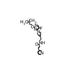 CN(C)CCOc1ncc(F)c(N2CC3C(CCNC(=O)/C=C/c4cccnc4)C3C2)n1